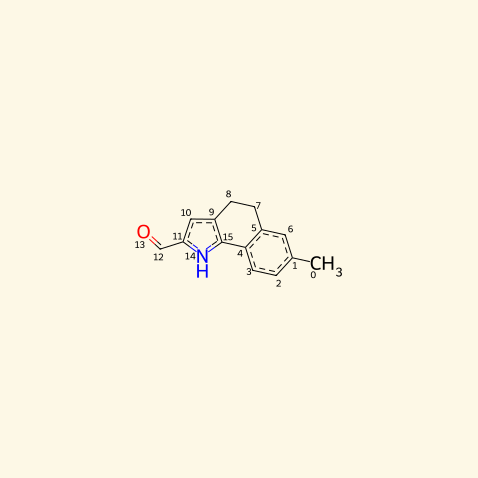 Cc1ccc2c(c1)CCc1cc(C=O)[nH]c1-2